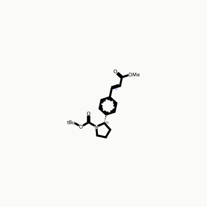 COC(=O)/C=C/c1ccc([C@@H]2CCCN2C(=O)OC(C)(C)C)cc1